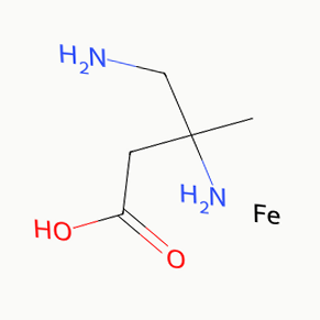 CC(N)(CN)CC(=O)O.[Fe]